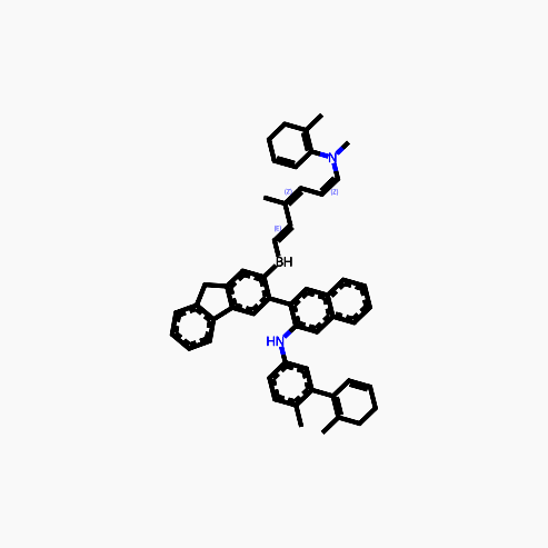 CC1=C(c2cc(Nc3cc4ccccc4cc3-c3cc4c(cc3B/C=C/C(C)=C\C=C/N(C)C3=C(C)CCC=C3)Cc3ccccc3-4)ccc2C)C=CCC1